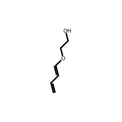 C=CC=COCCO